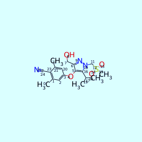 Cc1cc(Oc2c(CO)nn(CS(C)(=O)=O)c2C(C)C)cc(C)c1C#N